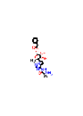 CC(C)[C@H](N)C(=O)Nc1ncnn2c([C@]3(C)O[C@H](COC(=O)Cc4ccccc4)[C@@H](O)[C@H]3O)ccc12